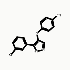 N#Cc1ccc(Oc2cn[nH]c2-c2cccc(Cl)c2)cc1